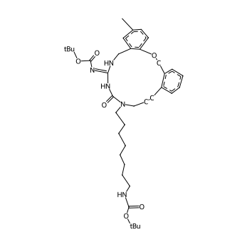 Cc1ccc2c(c1)CN/C(=N\C(=O)OC(C)(C)C)NC(=O)N(CCCCCCCCNC(=O)OC(C)(C)C)CCCc1ccccc1CO2